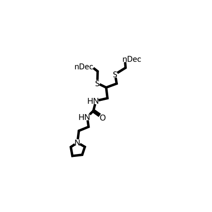 CCCCCCCCCCCSCC(CNC(=O)NCCN1CCCC1)SCCCCCCCCCCC